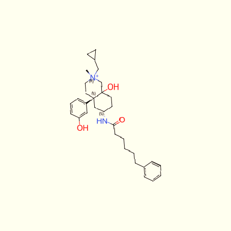 C[N@+]1(CC2CC2)CC[C@@]2(c3cccc(O)c3)C[C@@H](NC(=O)CCCCCc3ccccc3)CCC2(O)C1